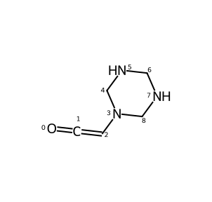 O=C=CN1CNCNC1